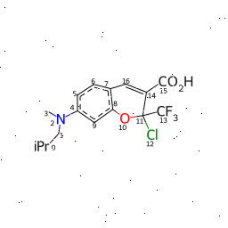 CC(C)CN(C)c1ccc2c(c1)OC(Cl)(C(F)(F)F)C(C(=O)O)=C2